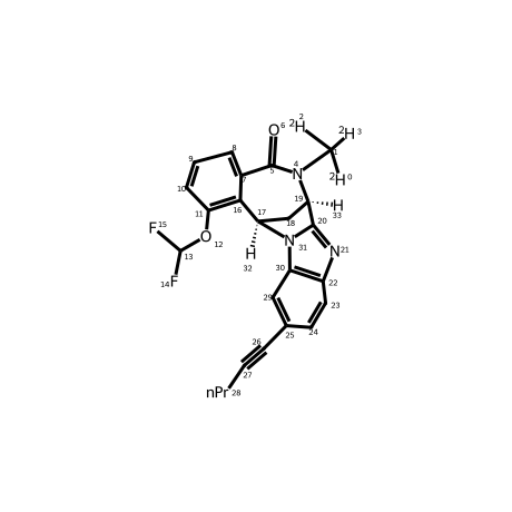 [2H]C([2H])([2H])N1C(=O)c2cccc(OC(F)F)c2[C@H]2C[C@@H]1c1nc3ccc(C#CCCC)cc3n12